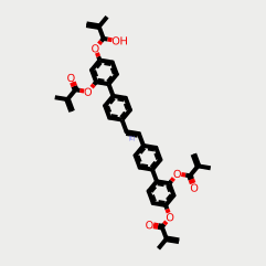 C=C(C)C(=O)Oc1ccc(-c2ccc(/C=C/c3ccc(-c4ccc(OC(O)C(=C)C)cc4OC(=O)C(=C)C)cc3)cc2)c(OC(=O)C(=C)C)c1